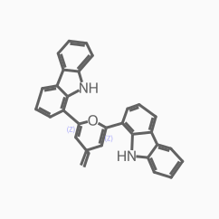 CC/C=C(\O/C(=C\CC)c1cccc2c1[nH]c1ccccc12)c1cccc2c1[nH]c1ccccc12